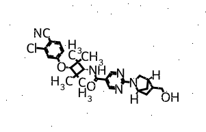 CC1(C)[C@H](NC(=O)c2cnc(N3C[C@H]4C[C@@H]3CC4CO)nc2)C(C)(C)[C@H]1Oc1ccc(C#N)c(Cl)c1